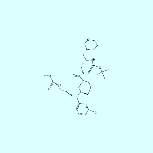 COC(=O)NCCO[C@@H](c1cccc(Cl)c1)[C@@H]1CCCN(C(=O)OC[C@H](C[C@H]2CCCOC2)NC(=O)OC(C)(C)C)C1